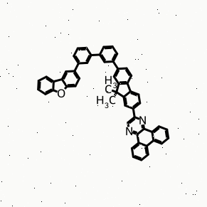 CC1(C)c2cc(-c3cccc(-c4cccc(-c5ccc6oc7ccccc7c6c5)c4)c3)ccc2-c2ccc(-c3cnc4c5ccccc5c5ccccc5c4n3)cc21